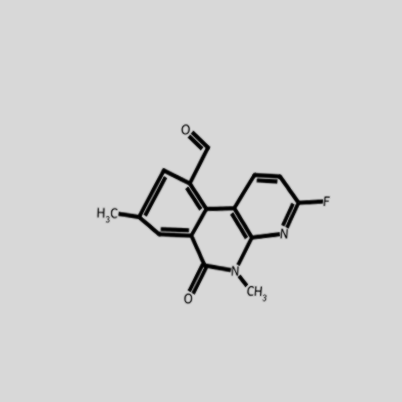 Cc1cc(C=O)c2c(c1)c(=O)n(C)c1nc(F)ccc21